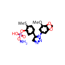 COc1cc(-n2nncc2-c2ccc(SC)c(OP(=O)(O)ON)c2)cc2c1OCO2